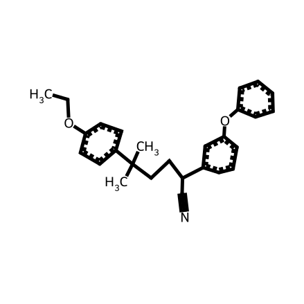 CCOc1ccc(C(C)(C)CCC(C#N)c2cccc(Oc3ccccc3)c2)cc1